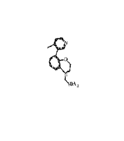 Cc1ccncc1-c1cccc2c1OCC[C@H]2CN